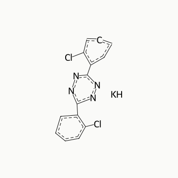 Clc1ccccc1-c1nnc(-c2ccccc2Cl)nn1.[KH]